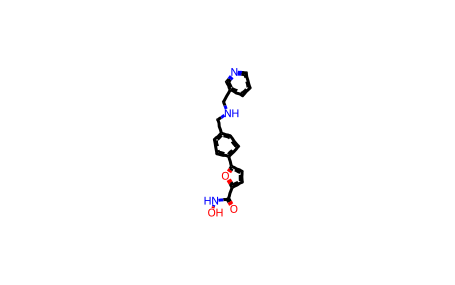 O=C(NO)c1ccc(-c2ccc(CNCc3cccnc3)cc2)o1